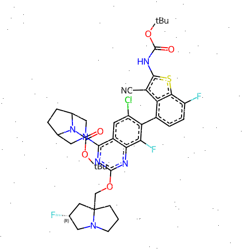 CC(C)(C)OC(=O)Nc1sc2c(F)ccc(-c3c(Cl)cc4c(N5CC6CCC(C5)N6C(=O)OC(C)(C)C)nc(OCC56CCCN5C[C@H](F)C6)nc4c3F)c2c1C#N